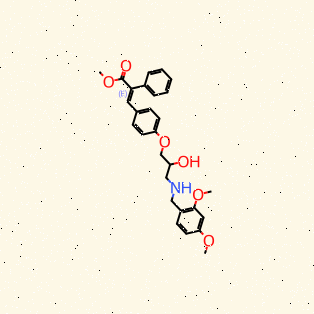 COC(=O)/C(=C/c1ccc(OCC(O)CNCc2ccc(OC)cc2OC)cc1)c1ccccc1